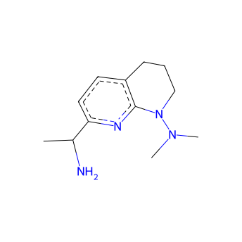 CC(N)c1ccc2c(n1)N(N(C)C)CCC2